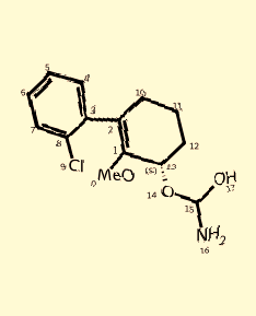 COC1=C(c2ccccc2Cl)CCC[C@@H]1OC(N)O